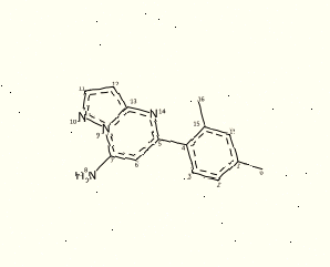 Cc1ccc(-c2cc(N)n3nccc3n2)c(C)c1